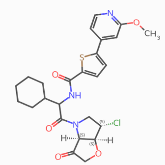 COc1cc(-c2ccc(C(=O)NC(C(=O)N3C[C@H](Cl)[C@H]4OCC(=O)[C@H]43)C3CCCCC3)s2)ccn1